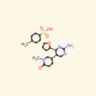 Cc1ccc(S(=O)(=O)O)cc1.Cn1cc(-c2cnc(N)nc2-c2ccco2)ccc1=O